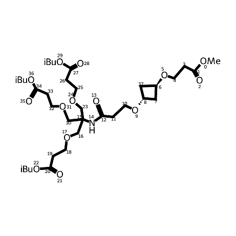 COC(=O)CCO[C@H]1C[C@H](OCCC(=O)NC(COCCC(=O)OCC(C)C)(COCCC(=O)OCC(C)C)COCCC(=O)OCC(C)C)C1